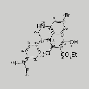 CCOC(=O)c1c(O)c2cc(Br)cc3c2n(c1=O)C(c1ccc(C(F)F)cc1)CN3